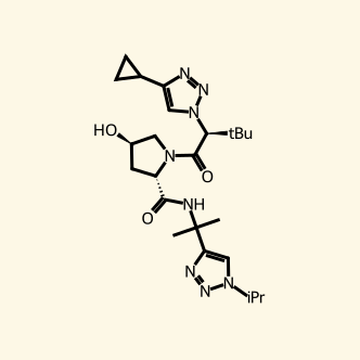 CC(C)n1cc(C(C)(C)NC(=O)[C@@H]2C[C@@H](O)CN2C(=O)[C@@H](n2cc(C3CC3)nn2)C(C)(C)C)nn1